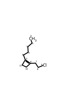 CCCCCC1=C(CCCl)CC1